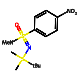 CNS(=O)(=NS(C)(C)C(C)(C)C)c1ccc([N+](=O)[O-])cc1